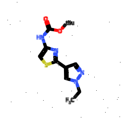 CC(C)(C)OC(=O)Nc1csc(-c2cnn(CC(F)(F)F)c2)n1